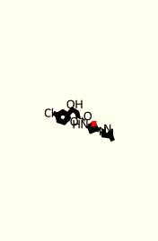 Cc1cnn(C23CC(NC(=O)[C@H]4C[C@@H](O)c5cc(Cl)ccc5O4)(C2)C3)c1